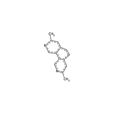 Cc1cc2ccc3cc(C)ncc3c2cn1